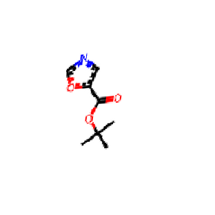 CC(C)(C)OC(=O)c1cnco1